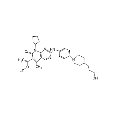 C=C(OCC)c1c(C)c2cnc(Nc3ccc(N4CCC(CCCO)CC4)cc3)nc2n(C2CCCC2)c1=O